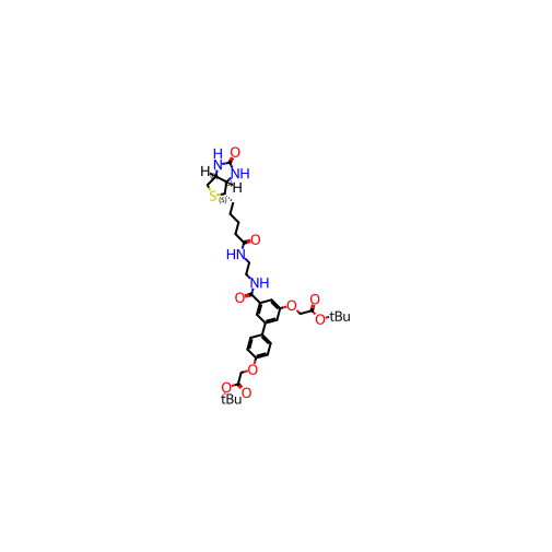 CC(C)(C)OC(=O)COc1ccc(-c2cc(OCC(=O)OC(C)(C)C)cc(C(=O)NCCNC(=O)CCCC[C@@H]3SC[C@@H]4NC(=O)N[C@@H]43)c2)cc1